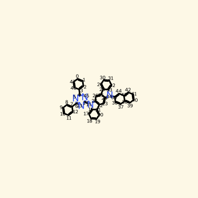 c1ccc(-c2nc(-c3ccccc3)nc(-n3c4ccccc4c4cc5c(cc43)c3ccccc3n5-c3ccc4ccccc4c3)n2)cc1